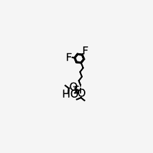 CC(C)O[Si](O)(CCCCCc1cc(F)cc(F)c1)OC(C)C